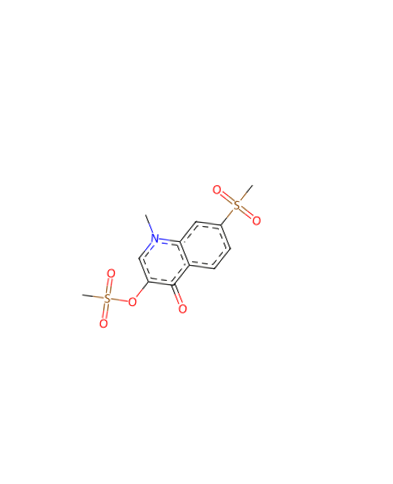 Cn1cc(OS(C)(=O)=O)c(=O)c2ccc(S(C)(=O)=O)cc21